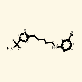 CC(F)(F)c1nc(CCCCCNc2cccc(Br)c2)no1